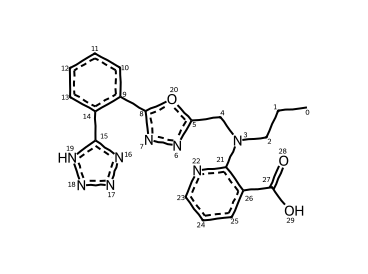 CCCN(Cc1nnc(-c2ccccc2-c2nnn[nH]2)o1)c1ncccc1C(=O)O